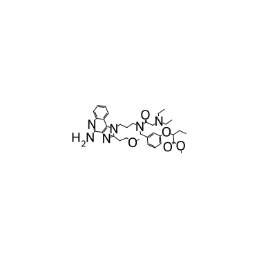 CCC(Oc1cccc(CN(CCCn2c(CCOC)nc3c(N)nc4ccccc4c32)C(=O)CN(CC)CC)c1)C(=O)OC